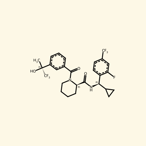 C[C@](O)(c1cccc(C(=O)N2CCCC[C@@H]2C(=O)N[C@@H](c2ccc(C(F)(F)F)cc2F)C2CC2)c1)C(F)(F)F